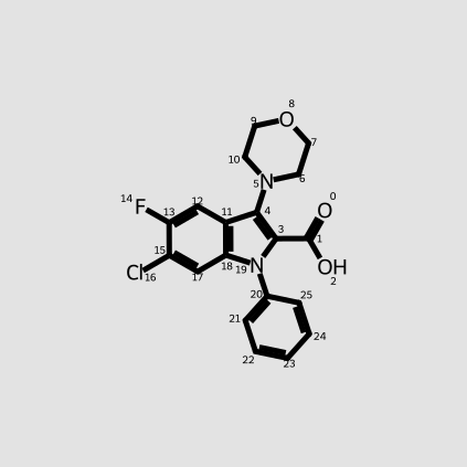 O=C(O)c1c(N2CCOCC2)c2cc(F)c(Cl)cc2n1-c1ccccc1